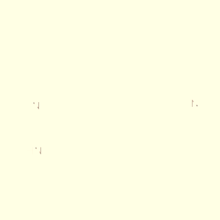 c1cncc(-c2ccc3[nH]cnc3c2)c1